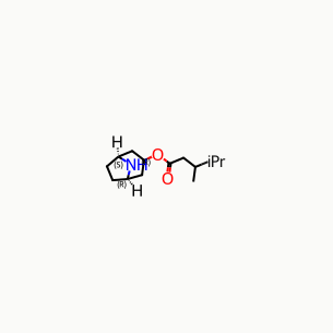 CC(C)C(C)CC(=O)O[C@H]1C[C@H]2CC[C@@H](C1)N2